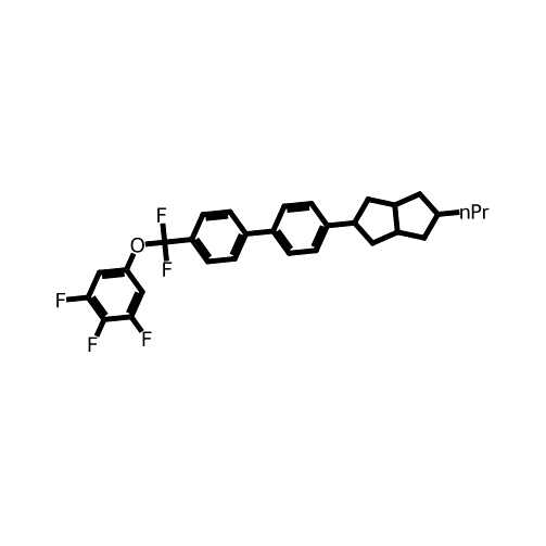 CCCC1CC2CC(c3ccc(-c4ccc(C(F)(F)Oc5cc(F)c(F)c(F)c5)cc4)cc3)CC2C1